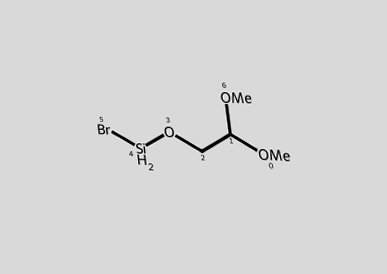 COC(CO[SiH2]Br)OC